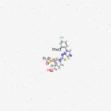 COc1cc(F)ccc1-c1cnc2sc(N3CCC(CO)(CS(C)(=O)=O)CC3)nn12